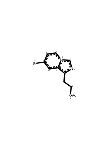 CC(=O)OCCc1ncn2ccc(Br)cc12